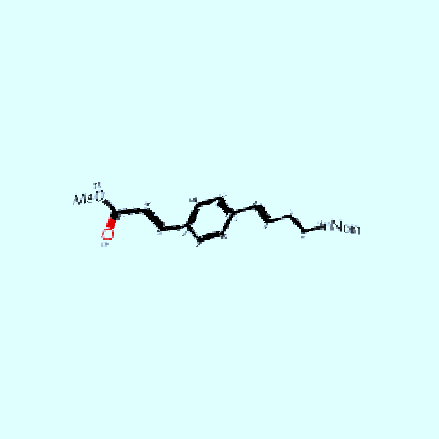 CCCCCCCCCCCC=Cc1ccc(C=CC(=O)OC)cc1